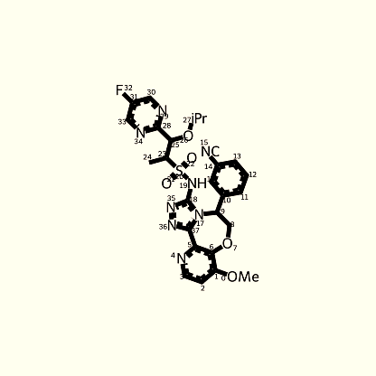 COc1ccnc2c1OCC(c1cccc(C#N)c1)n1c(NS(=O)(=O)C(C)C(OC(C)C)c3ncc(F)cn3)nnc1-2